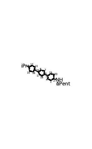 CCCCCNc1ccc(-c2ccc(-c3ccc(C(C)C)cc3)cc2)cc1